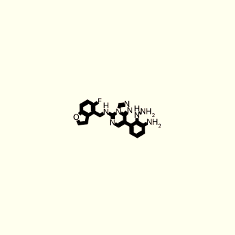 NNc1c(N)cccc1-c1cnc(NCc2c(F)ccc3c2CCO3)n2cnnc12